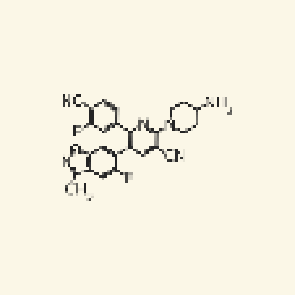 Cc1noc2cc(-c3cc(C#N)c(N4CCC(N)CC4)nc3-c3ccc(C#N)c(F)c3)c(F)cc12